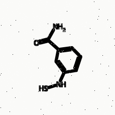 NC(=O)c1cccc(NS)c1